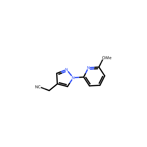 COc1cccc(-n2cc(CC#N)cn2)n1